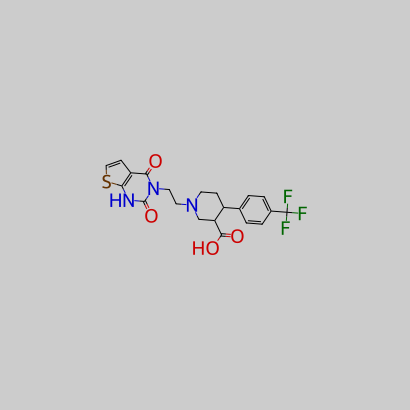 O=C(O)C1CN(CCn2c(=O)[nH]c3sccc3c2=O)CCC1c1ccc(C(F)(F)F)cc1